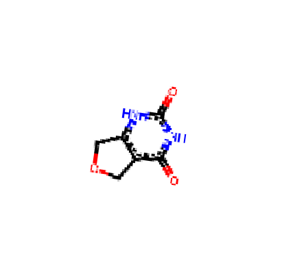 O=c1[nH]c2c(c(=O)[nH]1)COC2